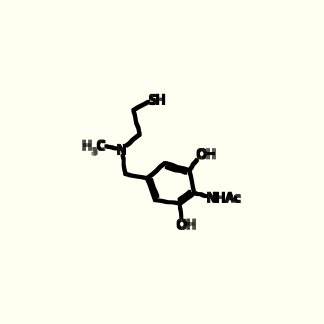 CC(=O)Nc1c(O)cc(CN(C)CCS)cc1O